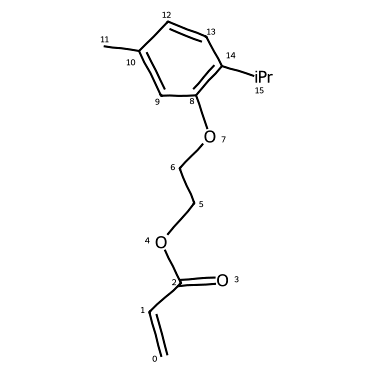 C=CC(=O)OCCOc1cc(C)ccc1C(C)C